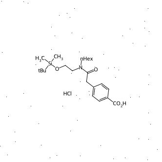 CCCCCCN(CCO[Si](C)(C)C(C)(C)C)C(=O)Cc1ccc(C(=O)O)cc1.Cl